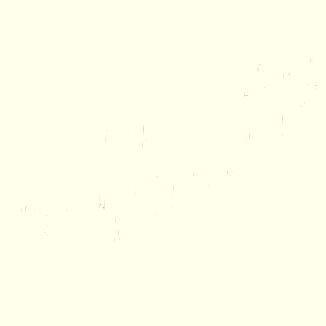 O=C(O)CCNC(=O)c1ccc(C(=O)/C(=C\C(=O)c2ccc3c(c2)C(F)(F)OC(F)(F)O3)c2ccc3c(c2)CCCC3)cc1